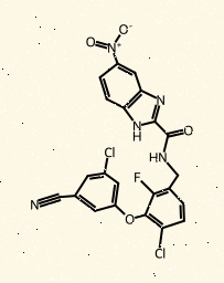 N#Cc1cc(Cl)cc(Oc2c(Cl)ccc(CNC(=O)c3nc4cc([N+](=O)[O-])ccc4[nH]3)c2F)c1